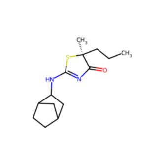 CCC[C@]1(C)SC(NC2CC3CCC2C3)=NC1=O